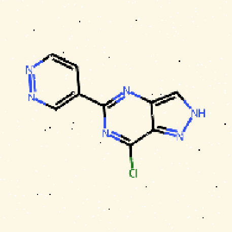 Clc1nc(-c2ccnnc2)nc2c[nH]nc12